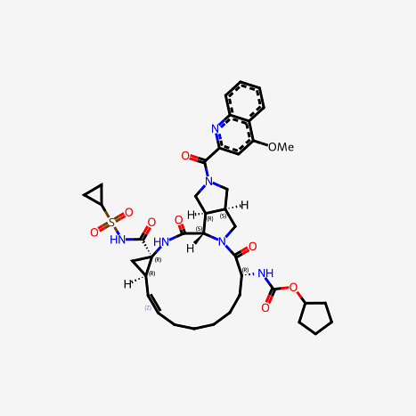 COc1cc(C(=O)N2C[C@H]3CN4C(=O)[C@H](NC(=O)OC5CCCC5)CCCCC/C=C\[C@H]5C[C@@]5(C(=O)NS(=O)(=O)C5CC5)NC(=O)[C@@H]4[C@H]3C2)nc2ccccc12